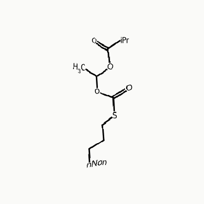 CCCCCCCCCCCCSC(=O)OC(C)OC(=O)C(C)C